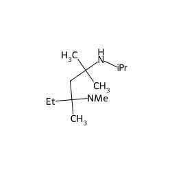 CCC(C)(CC(C)(C)NC(C)C)NC